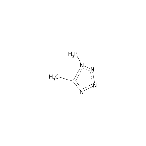 Cc1nnnn1P